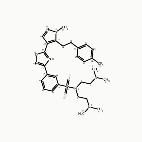 CN(C)CCN(CCN(C)C)S(=O)(=O)c1cccc(-c2noc(-c3cnn(C)c3CCc3ccc(C(F)(F)F)cc3)n2)c1